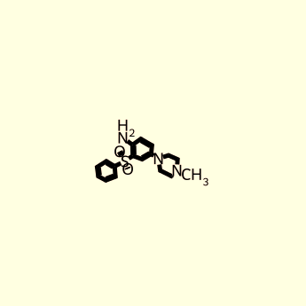 CN1CCN(c2ccc(N)c(S(=O)(=O)c3ccccc3)c2)CC1